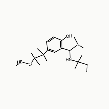 CBOC(C)(C)C(C)(C)c1ccc(O)c(C(NC(C)(C)CC)N(C)C)c1